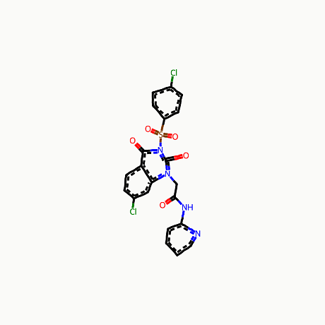 O=C(Cn1c(=O)n(S(=O)(=O)c2ccc(Cl)cc2)c(=O)c2ccc(Cl)cc21)Nc1ccccn1